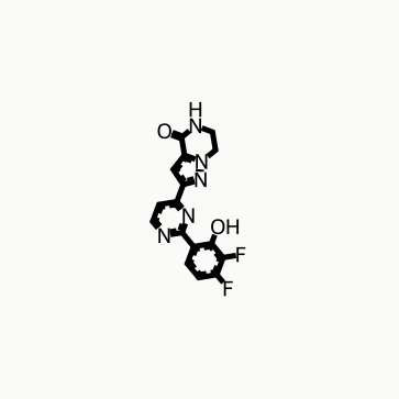 O=C1NCCn2nc(-c3ccnc(-c4ccc(F)c(F)c4O)n3)cc21